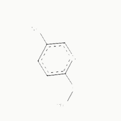 CCCCCOc1ccc(C#N)cn1